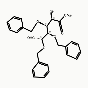 COC(=O)[C@H](O)[C@H](OCc1ccccc1)[C@@H](OCc1ccccc1)[C@@H](C=O)OCc1ccccc1